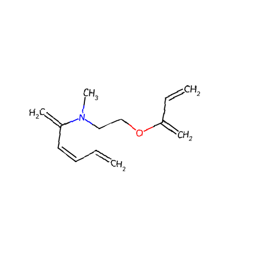 C=C/C=C\C(=C)N(C)CCOC(=C)C=C